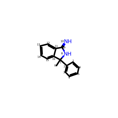 CC1(c2ccccc2)NC(=N)c2ccccc21